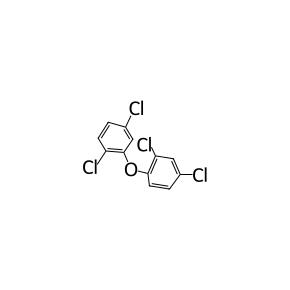 Clc1ccc(Oc2cc(Cl)ccc2Cl)c(Cl)c1